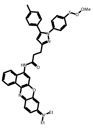 CC[N+](CC)=c1ccc2nc3c(cc(NC(=O)CCc4cc(-c5ccc(C)cc5)n(-c5ccc(SOOC)cc5)n4)c4ccccc43)oc-2c1